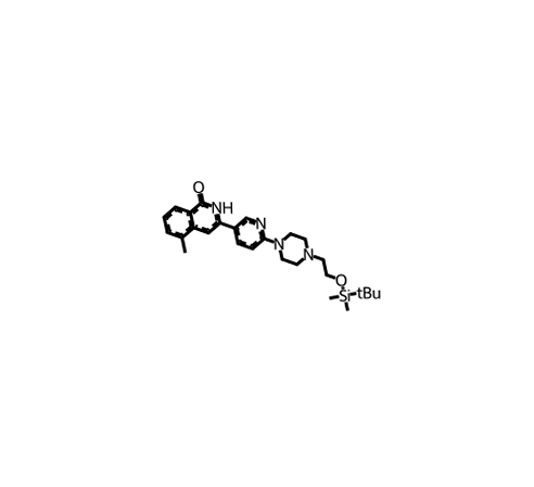 Cc1cccc2c(=O)[nH]c(-c3ccc(N4CCN(CCO[Si](C)(C)C(C)(C)C)CC4)nc3)cc12